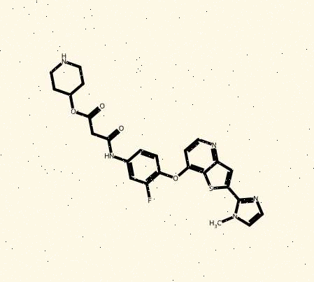 Cn1ccnc1-c1cc2nccc(Oc3ccc(NC(=O)CC(=O)OC4CCNCC4)cc3F)c2s1